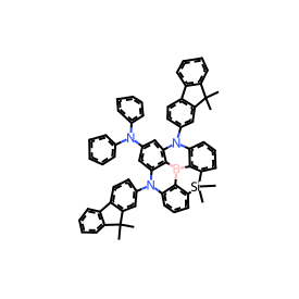 CC1(C)c2ccccc2-c2ccc(N3c4cc(N(c5ccccc5)c5ccccc5)cc5c4B4c6c3cccc6[Si](C)(C)c3cccc(c34)N5c3ccc4c(c3)C(C)(C)c3ccccc3-4)cc21